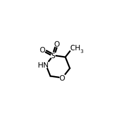 CC1COCNS1(=O)=O